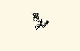 COC(=O)[C@H](CCSC)NC(=O)CN(Cc1cccc2ccccc12)C[C@@H]1CCCN1C[C@@H](N)CS.O=C(O)C(F)(F)F.O=C(O)C(F)(F)F.O=C(O)C(F)(F)F